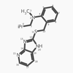 CC(C)CN(C)c1ccccc1CSc1nc2ncccc2[nH]1